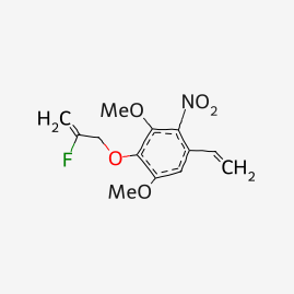 C=Cc1cc(OC)c(OCC(=C)F)c(OC)c1[N+](=O)[O-]